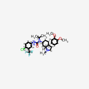 COc1ccc([C@@]23CC[C@H](N(C(=O)Nc4ccc(Cl)c(C(F)(F)F)c4)C(C)C)C[C@@H]2N(C)CC3)cc1OC